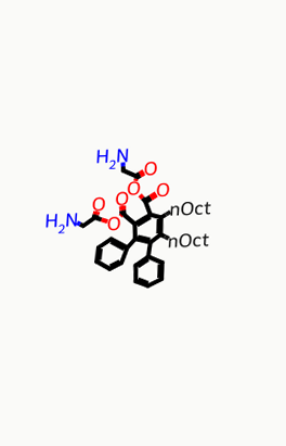 CCCCCCCCc1c(CCCCCCCC)c(-c2ccccc2)c(-c2ccccc2)c(C(=O)OC(=O)CN)c1C(=O)OC(=O)CN